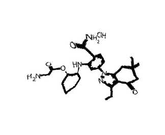 CCc1nn(-c2ccc(C(N)=O)c(N[C@H]3CCCC[C@@H]3OC(=O)CN)c2)c2c1C(=O)CC(C)(C)C2.Cl